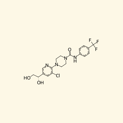 O=C(Nc1ccc(C(F)(F)F)cc1)N1CCN(c2ncc([C@H](O)CO)cc2Cl)CC1